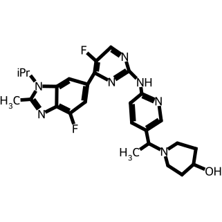 Cc1nc2c(F)cc(-c3nc(Nc4ccc(C(C)N5CCC(O)CC5)cn4)ncc3F)cc2n1C(C)C